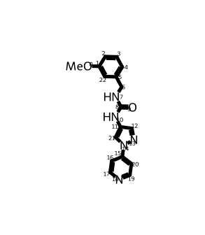 COc1cccc(CNC(=O)Nc2cnn(-c3ccncc3)c2)c1